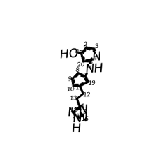 Oc1ccnc(Nc2cccc(CCc3nn[nH]n3)c2)c1